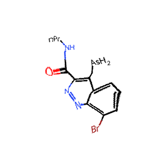 CCCNC(=O)c1nnc2c(Br)cccc2c1[AsH2]